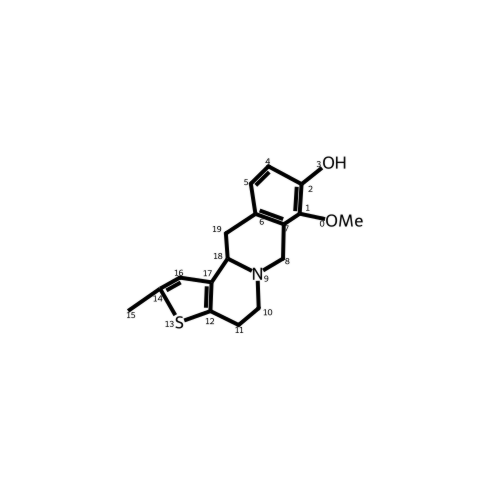 COc1c(O)ccc2c1CN1CCc3sc(C)cc3C1C2